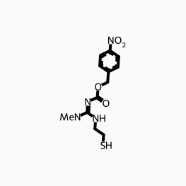 CNC(=NC(=O)OCc1ccc([N+](=O)[O-])cc1)NCCS